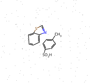 Cc1ccc(S(=O)(=O)O)cc1.c1ccc2scnc2c1